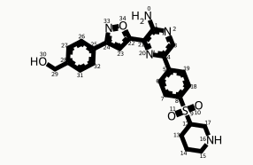 Nc1ncc(-c2ccc(S(=O)(=O)C3CCCNC3)cc2)nc1-c1cc(-c2ccc(CO)cc2)no1